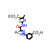 CCOC(=O)c1sc(NC(=O)/C(=N/Nc2cccc(C(=O)O)c2)C(C)=O)nc1C